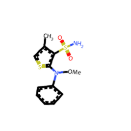 CON(c1ccccc1)c1scc(C)c1S(N)(=O)=O